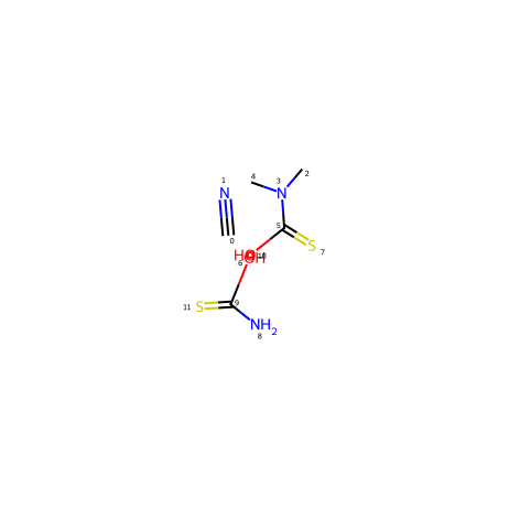 C#N.CN(C)C(O)=S.NC(O)=S